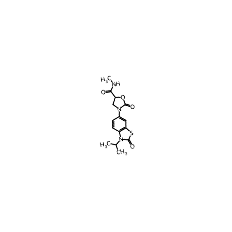 CNC(=O)C1CN(c2ccc3c(c2)sc(=O)n3C(C)C)C(=O)O1